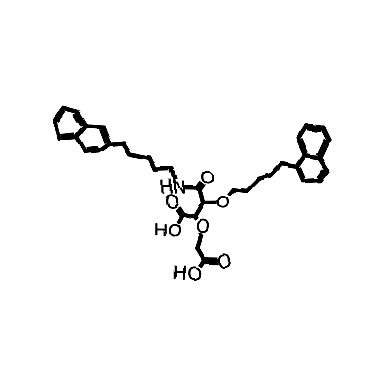 O=C(O)COC(C(=O)O)C(OCCCCCc1cccc2ccccc12)C(=O)NCCCCCc1ccc2ccccc2c1